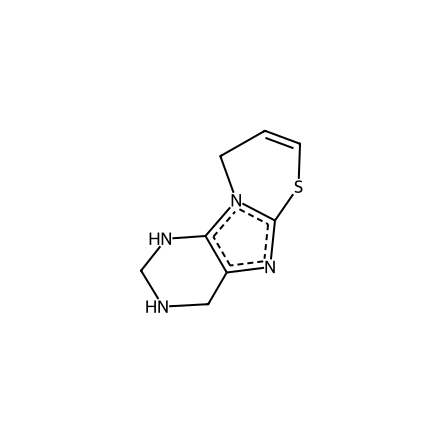 C1=CSc2nc3c(n2C1)NCNC3